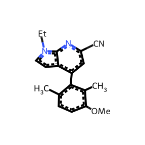 CCn1ccc2c(-c3c(C)ccc(OC)c3C)cc(C#N)nc21